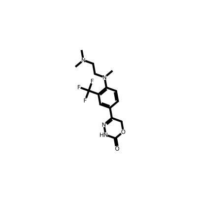 CN(C)CCN(C)c1ccc(C2=NNC(=O)OC2)cc1C(F)(F)F